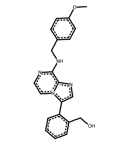 COc1ccc(CNc2nccn3c(-c4ccccc4CO)cnc23)cc1